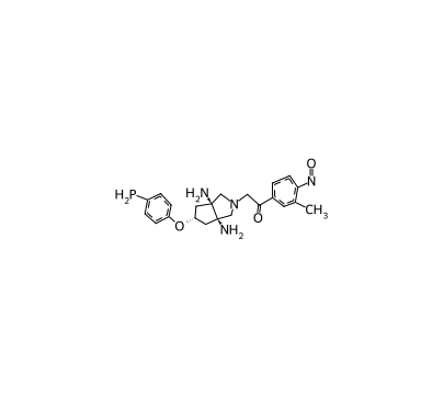 Cc1cc(C(=O)CN2C[C@]3(N)C[C@H](Oc4ccc(P)cc4)C[C@]3(N)C2)ccc1N=O